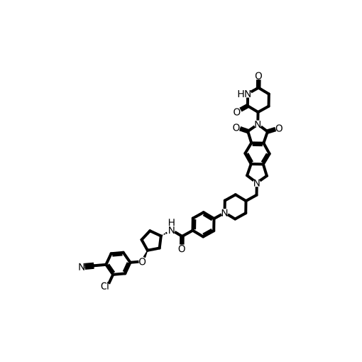 N#Cc1ccc(O[C@H]2CC[C@H](NC(=O)c3ccc(N4CCC(CN5Cc6cc7c(cc6C5)C(=O)N(C5CCC(=O)NC5=O)C7=O)CC4)cc3)C2)cc1Cl